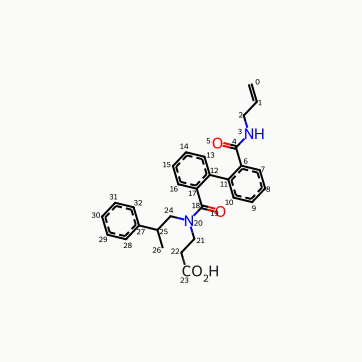 C=CCNC(=O)c1ccccc1-c1ccccc1C(=O)N(CCC(=O)O)CC(C)c1ccccc1